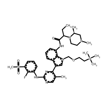 CCC(C(=O)Nc1cccc2c(-c3nc(Nc4cccc(S(C)(=O)=O)c4F)ncc3C)cn(COCC[Si](C)(C)C)c12)N1CCN(C)C[C@@H]1C